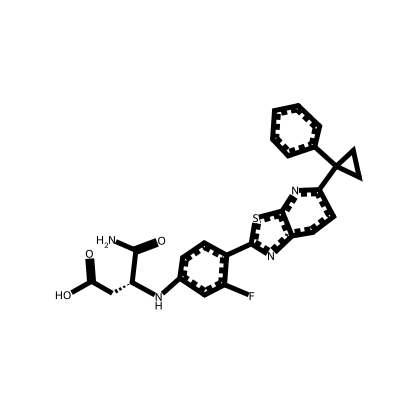 NC(=O)[C@@H](CC(=O)O)Nc1ccc(-c2nc3ccc(C4(c5ccccc5)CC4)nc3s2)c(F)c1